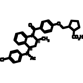 CC(=O)N(c1ccc(Cl)cc1)[C@@H]1C[C@H](C)N(C(=O)c2ccc(OCC3CCCC3C(=O)O)cc2)c2ccccc21